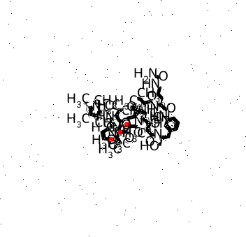 CC[C@H](C)[C@@H]([C@@H](CC(=O)N1CCC[C@H]1[C@H](OC)[C@@H](C)C(=O)N[C@H](CO)Cc1cccc(NC(=O)[C@H](CCCNC(N)=O)NC(=O)[C@@H](NC(=O)CCOCCN2C(=O)C=CC2=O)C(C)C)c1)OC)N(C)C(=O)[C@@H](NC(=O)[C@@H]1[C@@H](C)[C@H](C)[C@H](CC)N1C)C(C)C